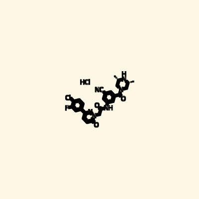 C[C@@H]1CN(C(=O)c2cc(C#N)cc(NC(=O)Cn3nc(-c4ccc(Cl)c(F)c4)ccc3=O)c2)C[C@H](C)N1.Cl